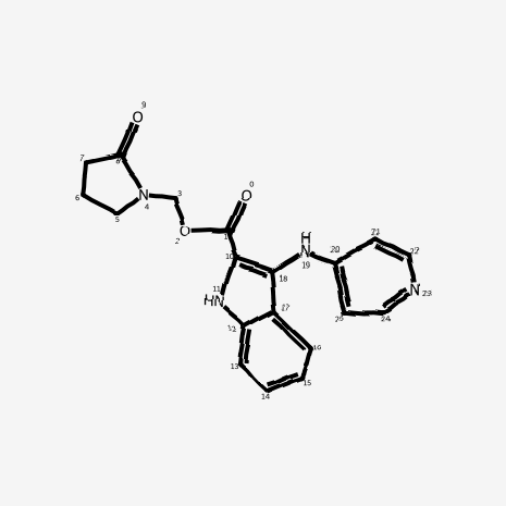 O=C(OCN1CCCC1=O)c1[nH]c2ccccc2c1Nc1ccncc1